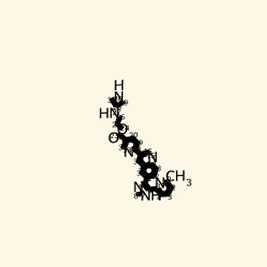 Cc1cccc(-c2[nH]cnc2-c2ccc3ncc(-c4ccc(C(=O)OCCNC5CNC5)cn4)cc3c2)n1